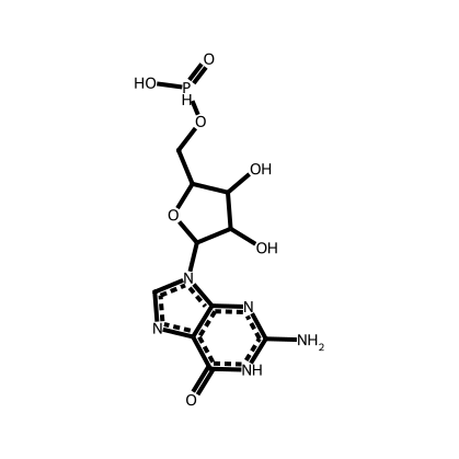 Nc1nc2c(ncn2C2OC(CO[PH](=O)O)C(O)C2O)c(=O)[nH]1